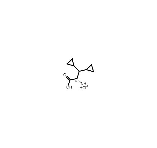 Cl.N[C@H](C(=O)O)C(C1CC1)C1CC1